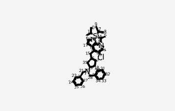 CC(C)[Si](C(C)C)(C(C)C)n1ccc2c(CC3CC[C@@H](N(Cc4ccccc4)Cc4ccccc4)C3)c(Cl)cnc21